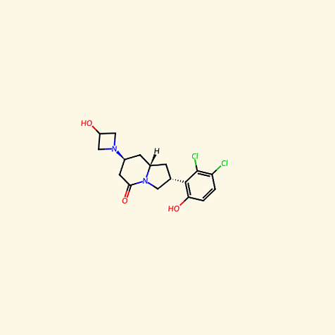 O=C1C[C@@H](N2CC(O)C2)C[C@@H]2C[C@H](c3c(O)ccc(Cl)c3Cl)CN12